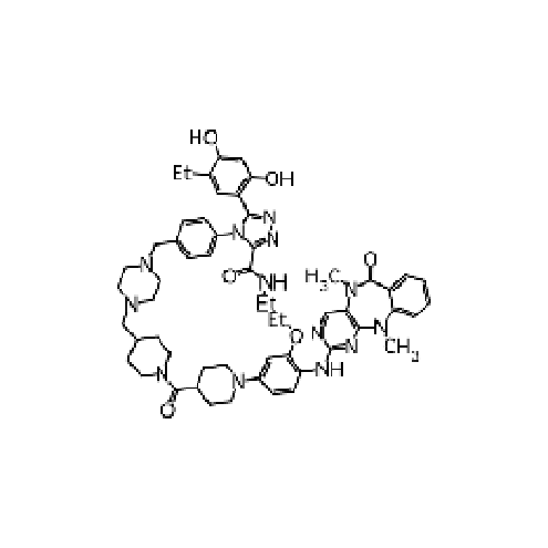 CCNC(=O)c1nnc(-c2cc(CC)c(O)cc2O)n1-c1ccc(CN2CCN(CC3CCN(C(=O)C4CCN(c5ccc(Nc6ncc7c(n6)N(C)c6ccccc6C(=O)N7C)c(OCC)c5)CC4)CC3)CC2)cc1